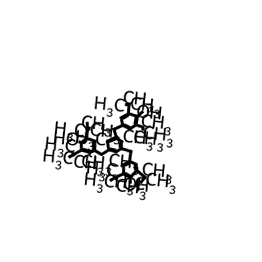 Cc1c(Cc2cc(C(C)(C)C)c(O)c(C(C)(C)C)c2)c(C)c(Cc2cc(C(C)(C)C)c(O)c(C(C)(C)C)c2C)c(C)c1Cc1cc(C(C)(C)C)c(O)c(C(C)(C)C)c1